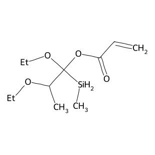 C=CC(=O)OC(OCC)([SiH2]C)C(C)OCC